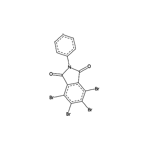 O=C1c2c(Br)c(Br)c(Br)c(Br)c2C(=O)N1c1cc[c]cc1